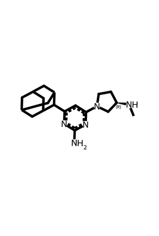 CN[C@@H]1CCN(c2cc(C3C4CC5CC(C4)CC3C5)nc(N)n2)C1